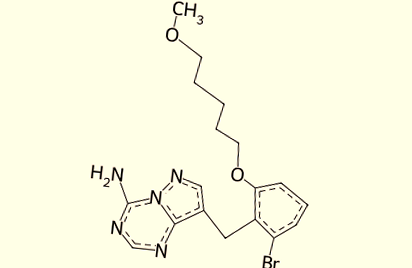 COCCCCCOc1cccc(Br)c1Cc1cnn2c(N)ncnc12